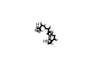 CC(Cn1ncc(C(C)CCC(C)c2cnn[nH]2)n1)c1cc[nH]n1